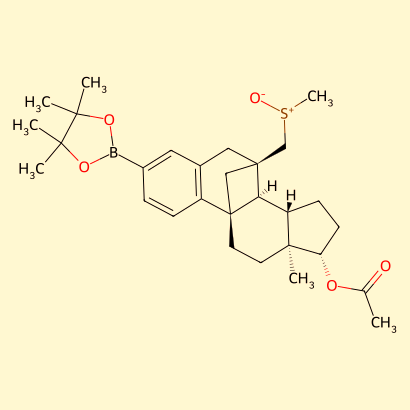 CC(=O)O[C@H]1CC[C@H]2[C@@H]3[C@@]4(C[S+](C)[O-])Cc5cc(B6OC(C)(C)C(C)(C)O6)ccc5[C@]3(CC[C@]12C)C4